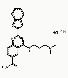 CN(C)CCCNc1nc(-c2cc3ccccc3o2)nc2ccc(C(N)=O)cc12.Cl.Cl